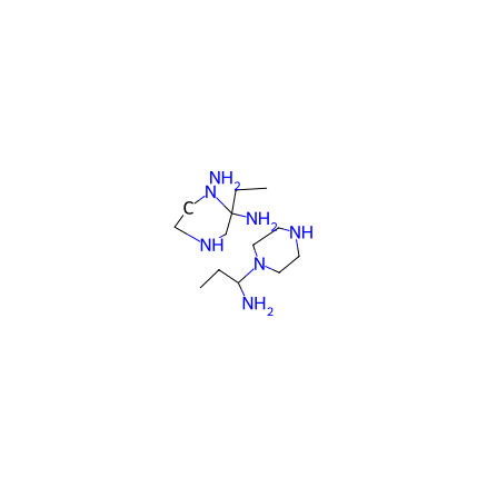 CCC(N)N1CCNCC1.CCC1(N)CNCCN1N